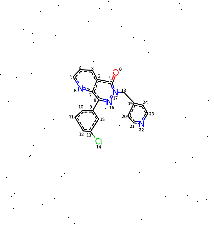 O=c1c2cccnc2c(-c2cccc(Cl)c2)nn1Cc1ccncc1